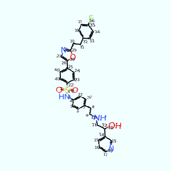 O=S(=O)(Nc1ccc(CCNCC(O)c2cccnc2)cc1)c1ccc(-c2cnc(CCc3ccc(F)cc3)o2)cc1